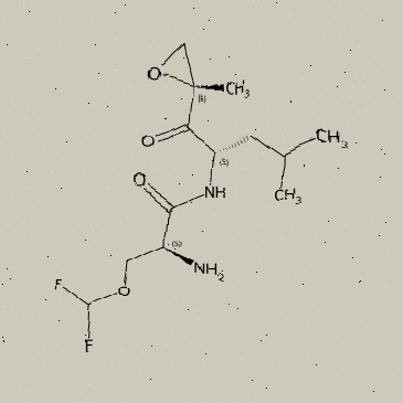 CC(C)C[C@H](NC(=O)[C@@H](N)COC(F)F)C(=O)[C@@]1(C)CO1